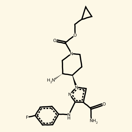 NC(=O)c1cn([C@@H]2CCN(C(=O)OCC3CC3)C[C@H]2N)nc1Nc1ccc(F)cc1